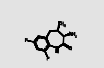 C[C@@H]1Cc2cc(F)cc(F)c2NC(=O)[C@@H]1N